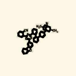 C[C@@H]1C[C@@H]2C[C@H](C)CC(c3ccc(-c4ccccc4-c4ccccc4-c4nc(-c5ccc6oc7ccccc7c6c5)nc(-c5ccccc5C#N)n4)cc3)(C1)C2